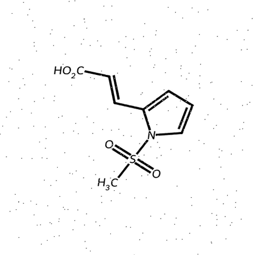 CS(=O)(=O)n1cccc1C=CC(=O)O